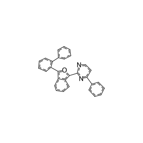 c1ccc(-c2ccnc(-c3oc(-c4ccccc4-c4ccccc4)c4ccccc34)n2)cc1